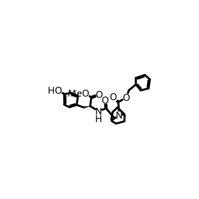 COC(=O)[C@H](Cc1ccc(O)cc1)NC(=O)C1C2CCC(CC2)N1C(=O)OCc1ccccc1